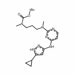 CN(CCCN(C)c1nccc(Nc2cc(C3CC3)[nH]n2)n1)C(=O)OC(C)(C)C